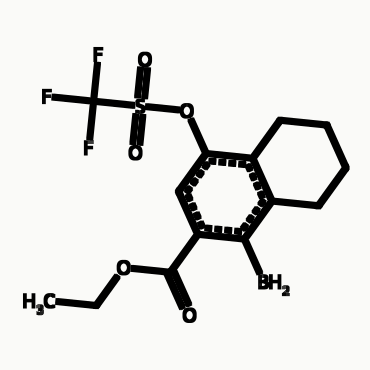 Bc1c(C(=O)OCC)cc(OS(=O)(=O)C(F)(F)F)c2c1CCCC2